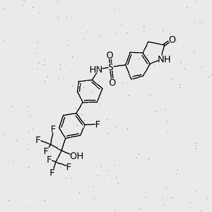 O=C1Cc2cc(S(=O)(=O)Nc3ccc(-c4ccc(C(O)(C(F)(F)F)C(F)(F)F)cc4F)cc3)ccc2N1